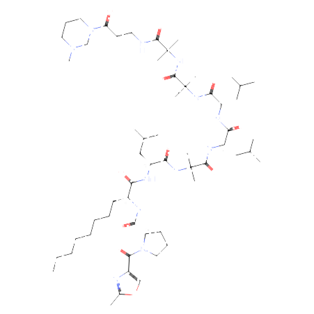 CCCCCCCC[C@H](NC(=O)[C@@H]1CCCN1C(=O)c1coc(C)n1)C(=O)N[C@@H](CC(C)C)C(=O)NC(C)(C)C(=O)N[C@@H](CC(C)C)C(=O)N[C@@H](CC(C)C)C(=O)NC(C)(C)C(=O)NC(C)(C)C(=O)NCCC(=O)N1CCCN(C)C1